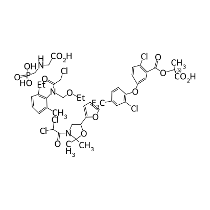 CC1(C)OC(c2ccco2)CN1C(=O)C(Cl)Cl.CCOCN(C(=O)CCl)c1c(C)cccc1CC.C[C@H](OC(=O)c1cc(Oc2ccc(C(F)(F)F)cc2Cl)ccc1Cl)C(=O)O.O=C(O)CNCP(=O)(O)O